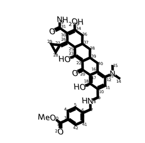 COC(=O)c1ccc(CNCc2cc(N(C)C)c3c(c2O)C(=O)C2=C(O)C4C(=C5CC5)C(C(N)=O)=C(O)CC4CC2C3)cc1